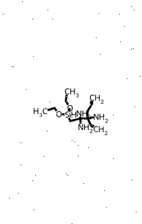 C=CCC(N)(C=C)C(N)(N)C[SiH](OCC)OCC